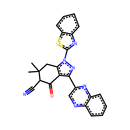 CC1(C)Cc2c(c(-c3cnc4ccccc4n3)nn2-c2nc3ccccc3s2)C(=O)C1C#N